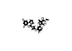 CCNC(=O)c1c(C)nn(-c2cc(OC3CN(C(=O)N4N=CC[C@H]4c4cc(F)cc(F)c4)C3)c(F)cn2)c1C